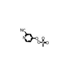 CS(=O)(=O)OOc1ccnc(C#N)c1